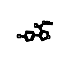 COC(=O)C1=C(c2ccc(Cl)cc2)COC1